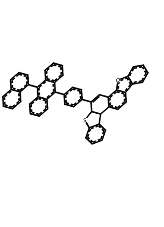 C1=C(c2ccc(-c3c4ccccc4c(-c4cccc5ccccc45)c4ccccc34)cc2)C2Sc3ccccc3C2c2ccc3c(oc4ccccc43)c21